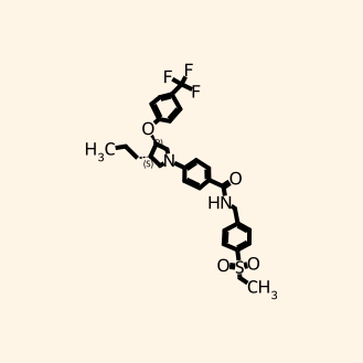 CCC[C@H]1CN(c2ccc(C(=O)NCc3ccc(S(=O)(=O)CC)cc3)cc2)C[C@@H]1Oc1ccc(C(F)(F)F)cc1